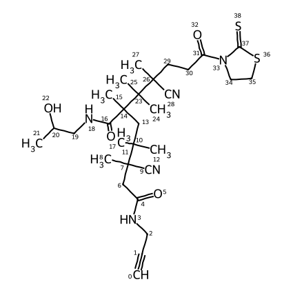 C#CCNC(=O)CC(C)(C#N)C(C)(C)CC(C)(C(=O)NCC(C)O)C(C)(C)C(C)(C#N)CCC(=O)N1CCSC1=S